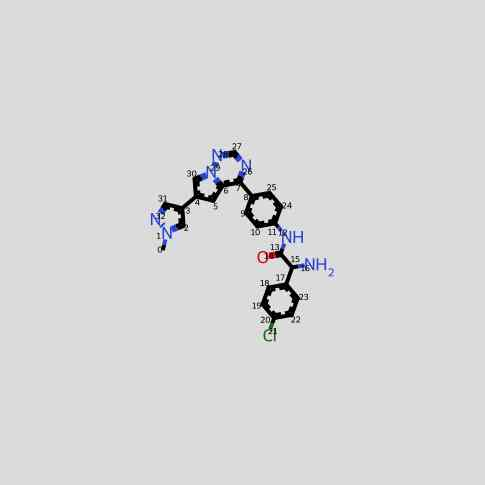 Cn1cc(-c2cc3c(-c4ccc(NC(=O)C(N)c5ccc(Cl)cc5)cc4)ncnn3c2)cn1